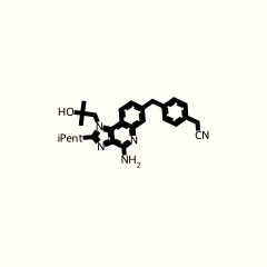 CCCC(C)c1nc2c(N)nc3cc(Cc4ccc(CC#N)cc4)ccc3c2n1CC(C)(C)O